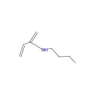 C=CC(=C)NCCCC